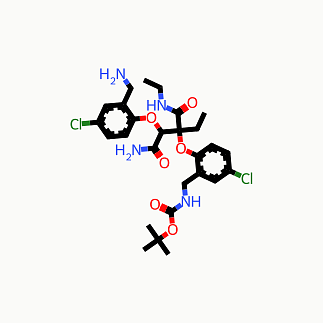 CCNC(=O)C(CC)(Oc1ccc(Cl)cc1CNC(=O)OC(C)(C)C)C(Oc1ccc(Cl)cc1CN)C(N)=O